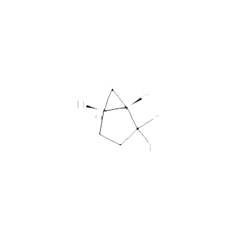 FC1(F)CC[C@@H]2C[C@@H]21